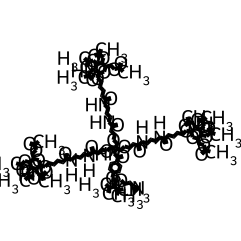 CC(=O)NC1C(OCCCCC(=O)NCCCNC(=O)CCOCC(COCCC(=O)NCCCNC(=O)CCCCOC2OC(COC(C)=O)C(OC(C)=O)C(OC(C)=O)C2NC(C)=O)(COCCC(=O)NCCCNC(=O)CCCCOC2OC(COC(C)=O)C(OC(C)=O)C(OC(C)=O)C2NC(C)=O)NC(=O)C2CCC(OP(OCCC3C=N3)N(C(C)C)C(C)C)CC2)OC(COC(C)=O)C(OC(C)=O)C1OC(C)=O